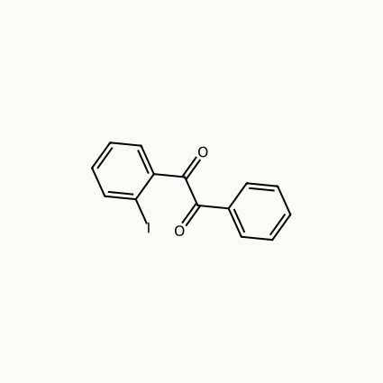 O=C(C(=O)c1ccccc1I)c1ccccc1